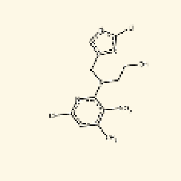 Cc1cc(Cl)nc(N(CCO)Cc2cnc(Cl)s2)c1[N+](=O)[O-]